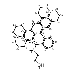 CN(CCO)C(=O)c1ccccc1C1=c2cc3c4c(c2Oc2c1cc1c5c2CCCN5CCC1)CCC[N+]=4CCC3